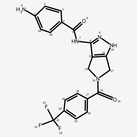 Nc1ccc(C(=O)Nc2n[nH]c3c2CN(C(=O)c2ccc(C(F)(F)F)cc2)C3)cc1